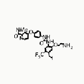 CNC(=O)c1cc(Oc2ccc(NC(=O)Nc3cc(C(F)(F)F)c(CI)cc3OCCN)cc2)ccn1